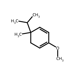 COC1=CCC(C)(C(C)C)C=C1